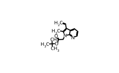 C=Cc1c(C)n(CC(=O)OC(C)(C)C)c2ncccc12